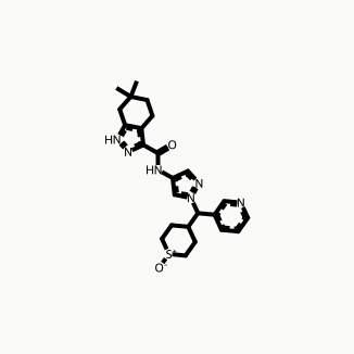 CC1(C)CCc2c(C(=O)Nc3cnn(C(c4cccnc4)C4CC[S+]([O-])CC4)c3)n[nH]c2C1